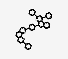 c1ccc(-c2cc(-c3ccccc3)c3c(n2)c(-c2ccc(-c4ccc5ccc6ccc(-c7ccccc7)nc6c5n4)cc2)cc2ccccc23)cc1